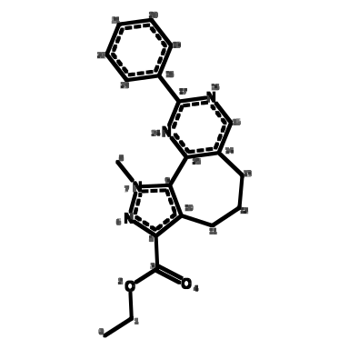 CCOC(=O)c1nn(C)c2c1CCCc1cnc(-c3ccccc3)nc1-2